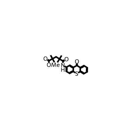 COC(=O)C(C)(C)CC(C)(C)C(=O)Nc1ccc2sc3ccccc3c(=O)c2c1